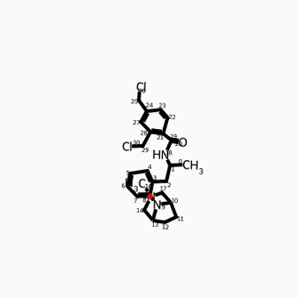 CC(Cc1ccccc1N1C2CCC1CN(C)C2)NC(=O)c1ccc(CCl)cc1CCl